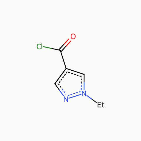 CCn1cc(C(=O)Cl)cn1